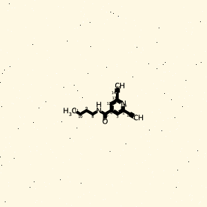 C#Cc1cc(C(=O)NCCCC)cc(C#C)n1